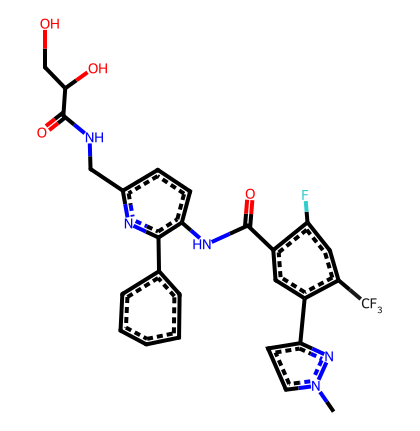 Cn1ccc(-c2cc(C(=O)Nc3ccc(CNC(=O)C(O)CO)nc3-c3ccccc3)c(F)cc2C(F)(F)F)n1